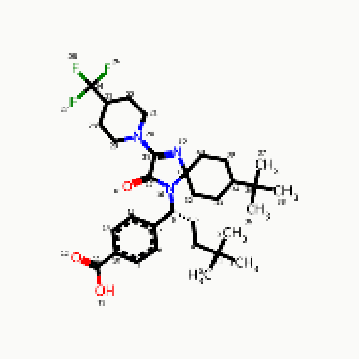 CC(C)(C)CC[C@H](c1ccc(C(=O)O)cc1)N1C(=O)C(N2CCC(C(F)(F)F)CC2)=NC12CCC(C(C)(C)C)CC2